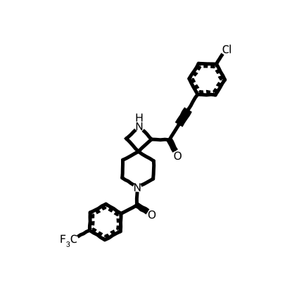 O=C(C#Cc1ccc(Cl)cc1)C1NCC12CCN(C(=O)c1ccc(C(F)(F)F)cc1)CC2